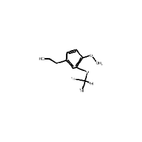 [2H]C([2H])([2H])Oc1cc(CCO)ccc1OC